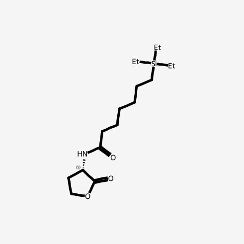 CC[Si](CC)(CC)CCCCCCC(=O)N[C@H]1CCOC1=O